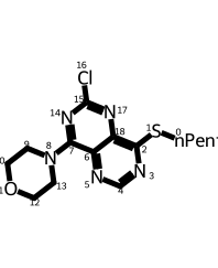 CCCCCSc1ncnc2c(N3CCOCC3)nc(Cl)nc12